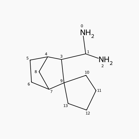 NC(N)C1C2CCC(C2)C12CCCC2